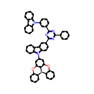 c1ccc(-c2nc(-c3cccc(-n4c5ccccc5c5ccccc54)c3)nc(-c3ccc4c(c3)c3ccccc3n4-c3cc4c5c(c3)Oc3ccccc3B5c3ccccc3O4)n2)cc1